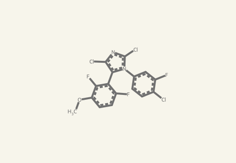 COc1ccc(F)c(-c2c(Cl)nc(Cl)n2-c2ccc(Cl)c(F)c2)c1F